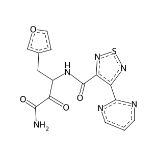 NC(=O)C(=O)C(Cc1ccoc1)NC(=O)c1nsnc1-c1ncccn1